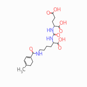 CC1=CC=C(C(=O)NCCCCC(NC(=O)NC(CCC(=O)O)C(=O)O)C(=O)O)CC1